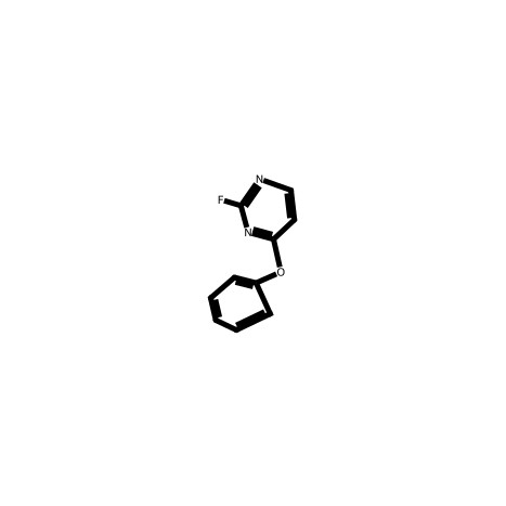 Fc1nccc(Oc2ccccc2)n1